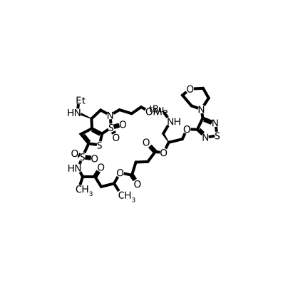 CCN[C@H]1CN(CCCOC)S(=O)(=O)c2sc(S(=O)(=O)NC(C)C(=O)CC(C)OC(=O)CCC(=O)O[C@@H](CNC(C)(C)C)COc3nsnc3N3CCOCC3)cc21